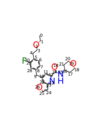 CCOCCc1ccc(Cc2cc(C(=O)NC3CCOCC3)nc3ccoc23)cc1F